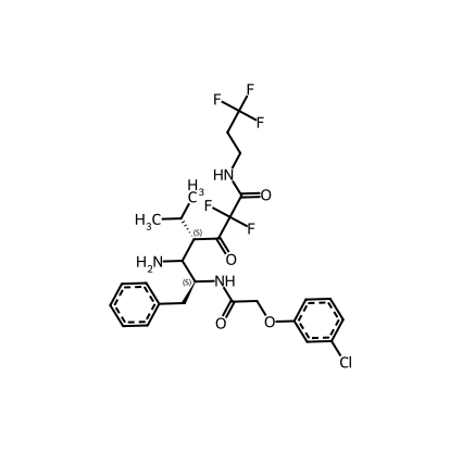 CC(C)[C@H](C(=O)C(F)(F)C(=O)NCCC(F)(F)F)C(N)[C@H](Cc1ccccc1)NC(=O)COc1cccc(Cl)c1